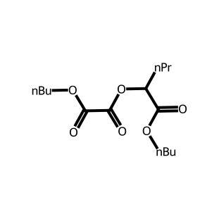 CCCCOC(=O)C(=O)OC(CCC)C(=O)OCCCC